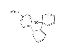 CCCCCc1ccc(-c2ccccc2C2(C#N)C=CC=CC2)cc1